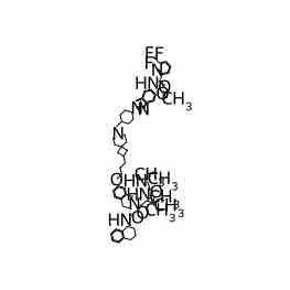 CNC(C)C(=O)NC(C(=O)N1Cc2cc(OCCCC3CC4(CCN(CC5CCC(n6cc7cc(NC(=O)c8cccc(C(F)(F)F)n8)c(OC)cc7n6)CC5)CC4)C3)ccc2C[C@H]1C(=O)N[C@@H]1CCCc2ccccc21)C(C)(C)C